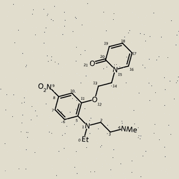 CCN(CCNC)c1ccc([N+](=O)[O-])cc1OCCn1ccccc1=O